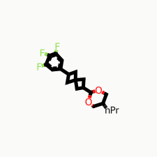 CCCC1COC(C2CC3(CC(c4cc(F)c(F)c(F)c4)C3)C2)OC1